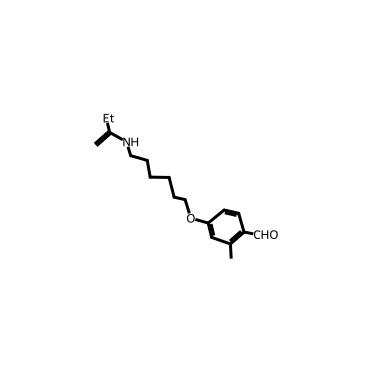 C=C(CC)NCCCCCCOc1ccc(C=O)c(C)c1